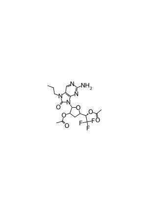 CCCn1c(=O)n(C2OC([C@@H](OC(C)=O)C(F)(F)F)CC2OC(C)=O)c2nc(N)ncc21